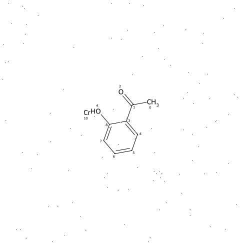 CC(=O)c1ccccc1O.[Cr]